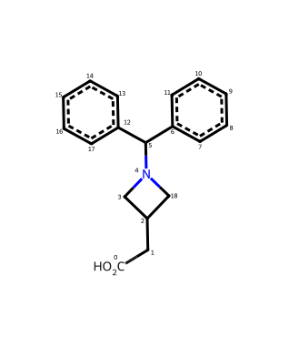 O=C(O)CC1CN(C(c2ccccc2)c2ccccc2)C1